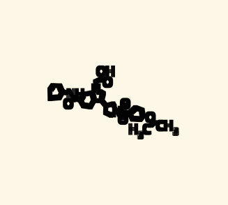 CC(C)Oc1ccc(S(=O)(=O)N2CCC(c3cn(CC(=O)O)c4cc(C(=O)Nc5ccccc5)ccc34)C2)cc1